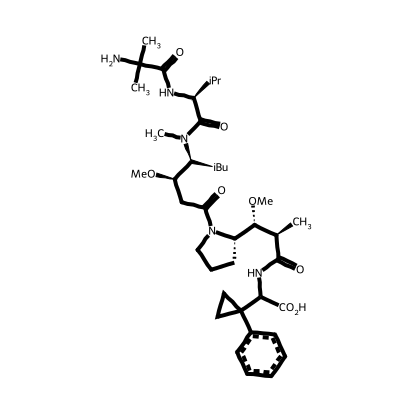 CC[C@H](C)[C@@H]([C@@H](CC(=O)N1CCC[C@H]1[C@H](OC)[C@@H](C)C(=O)NC(C(=O)O)C1(c2ccccc2)CC1)OC)N(C)C(=O)[C@@H](NC(=O)C(C)(C)N)C(C)C